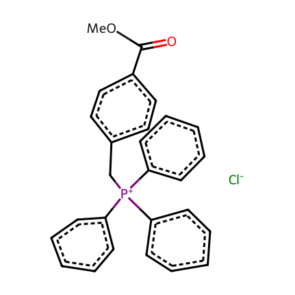 COC(=O)c1ccc(C[P+](c2ccccc2)(c2ccccc2)c2ccccc2)cc1.[Cl-]